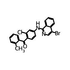 Cc1ccccc1C(=O)c1ccc(Nc2ncc(Br)c3ccccc23)cc1Cl